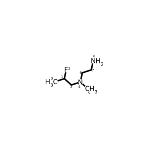 CC(F)CN(C)CCN